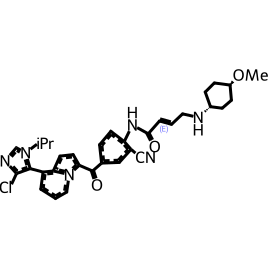 CO[C@H]1CC[C@H](NC/C=C/C(=O)Nc2ccc(C(=O)c3ccc4c(-c5c(Cl)ncn5C(C)C)cccn34)cc2C#N)CC1